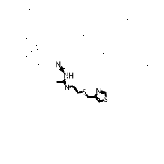 CC(=NCCSCc1cscn1)NC#N